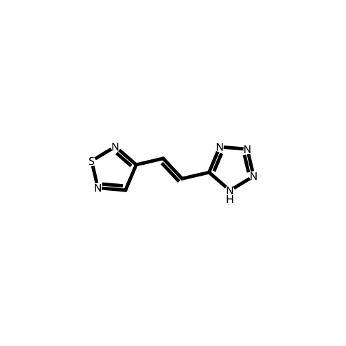 C(=Cc1nnn[nH]1)c1cnsn1